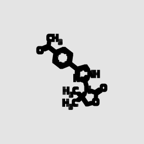 CC(=O)c1ccc(-c2c[nH]c(N3C(=O)OCC3(C)C)n2)cc1